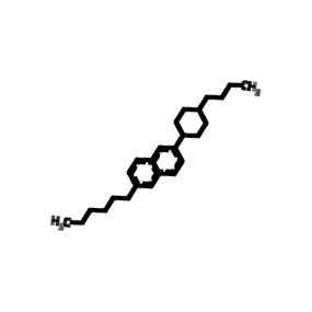 CCCCCCc1ccc2cc(C3CCC(CCCC)CC3)ccc2c1